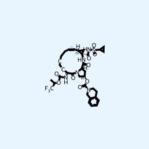 CC(OC(=O)N[C@H]1CCCCC/C=C\[C@@H]2C[C@@]2(C(=O)NS(=O)(=O)C2CC2)NC(=O)[C@@H]2C[C@@H](OC(=O)N3CCc4ccccc4C3)CN2C1=O)C(F)(F)F